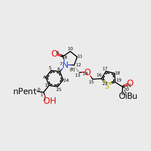 CCCCCC(O)c1ccc(N2C(=O)CC[C@@H]2COCc2ccc(C(=O)OCC(C)C)s2)cc1